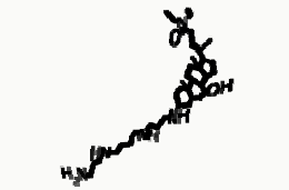 CCN(CC)C(=O)CC[C@@H](C)[C@H]1CCC2C3C(CC[C@@]21C)[C@@]1(C)CC[C@H](NCCCNCCCCNCCCN)CC1C[C@H]3O